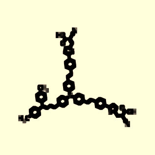 Cc1ccc(C(=C/C=C/c2ccc(N(c3ccc(/C=C/c4ccc(-c5ccc(/C=C(/C#N)C(=O)O)s5)cc4)cc3)c3ccc(/C=C/c4ccc(-c5ccc(/C=C(/C#N)C(=O)O)s5)cc4)cc3)cc2)c2ccc(C)cc2)cc1